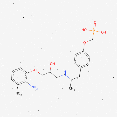 CC(Cc1ccc(OCP(=O)(O)O)cc1)NCC(O)COc1cccc([N+](=O)[O-])c1N